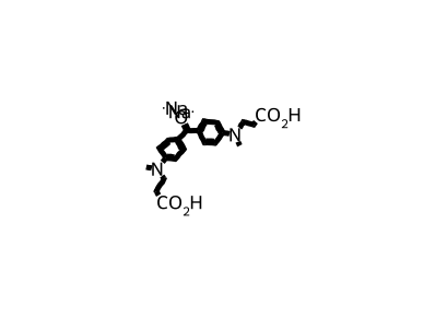 CN(CCC(=O)O)c1ccc(C(=O)c2ccc(N(C)CCC(=O)O)cc2)cc1.[Na].[Na]